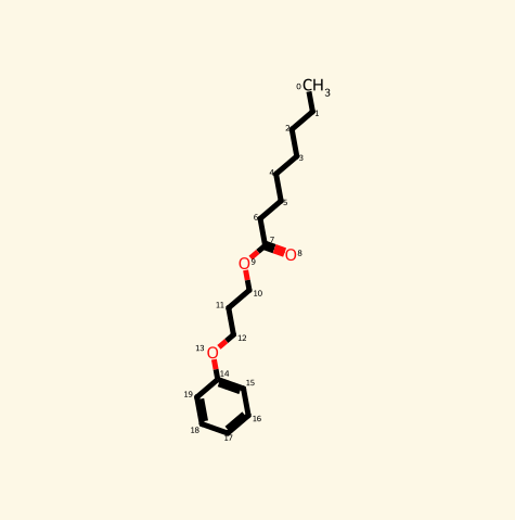 CCCCCCCC(=O)OCCCOc1ccccc1